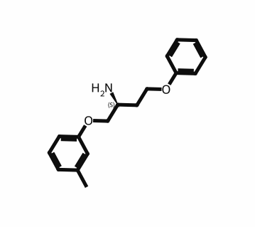 Cc1cccc(OC[C@@H](N)CCOc2ccccc2)c1